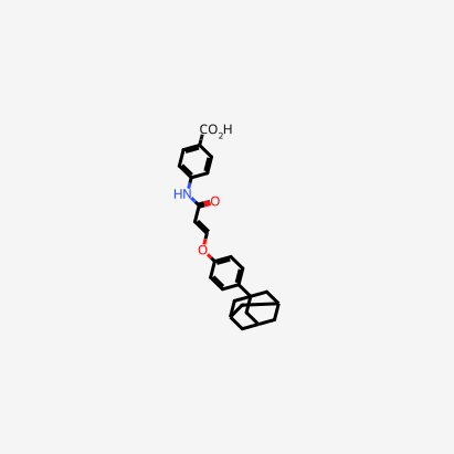 O=C(C=COc1ccc(C23CC4CC(CC(C4)C2)C3)cc1)Nc1ccc(C(=O)O)cc1